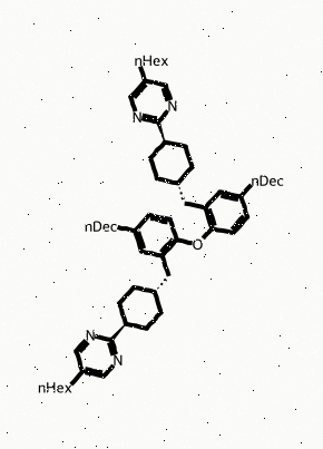 CCCCCCCCCCc1ccc(Oc2ccc(CCCCCCCCCC)cc2C[C@H]2CC[C@H](c3ncc(CCCCCC)cn3)CC2)c(C[C@H]2CC[C@H](c3ncc(CCCCCC)cn3)CC2)c1